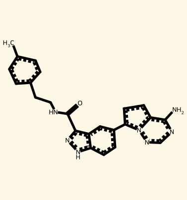 Cc1ccc(CCNC(=O)c2n[nH]c3ccc(-c4ccc5c(N)ncnn45)cc23)cc1